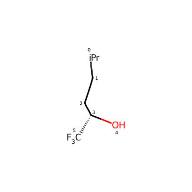 CC(C)CC[C@H](O)C(F)(F)F